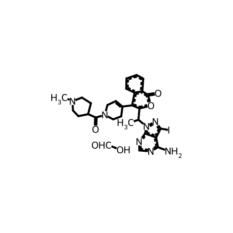 CC(c1oc(=O)c2ccccc2c1C1=CCN(C(=O)C2CCN(C)CC2)CC1)n1nc(I)c2c(N)ncnc21.O=CO